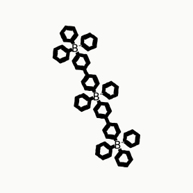 c1ccc([B-](c2ccccc2)(c2ccccc2)c2ccc(-c3ccc([B-](c4ccccc4)(c4ccccc4)c4ccc(-c5ccc([B-](c6ccccc6)(c6ccccc6)c6ccccc6)cc5)cc4)cc3)cc2)cc1